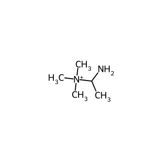 CC(N)[N+](C)(C)C